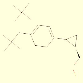 CC(C)(C)C[C@H](C1=CC=C(C2C[C@H]2COS)CC1)C(C)(C)C